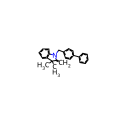 C=C1N(Cc2ccc(-c3ccccc3)cc2)c2ccccc2C1(C)C